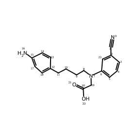 N#Cc1cccc(N(CCCCc2ccc(N)cc2)CC(=O)O)c1